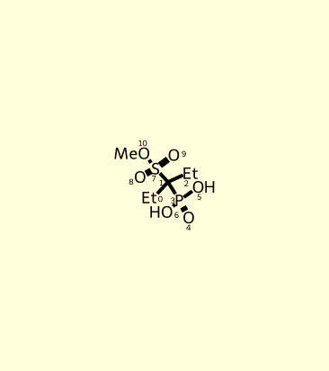 CCC(CC)(P(=O)(O)O)S(=O)(=O)OC